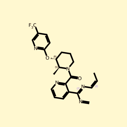 C=N/C(=N\C=C/C)c1cccnc1C(=O)N1CCC[C@@H](Oc2ccc(C(F)(F)F)cn2)[C@@H]1C